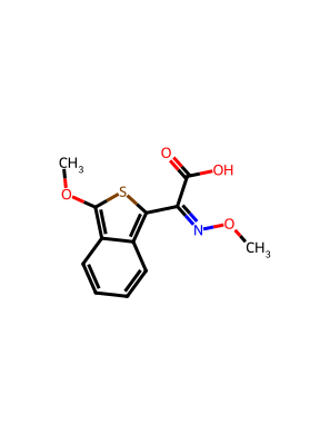 CON=C(C(=O)O)c1sc(OC)c2ccccc12